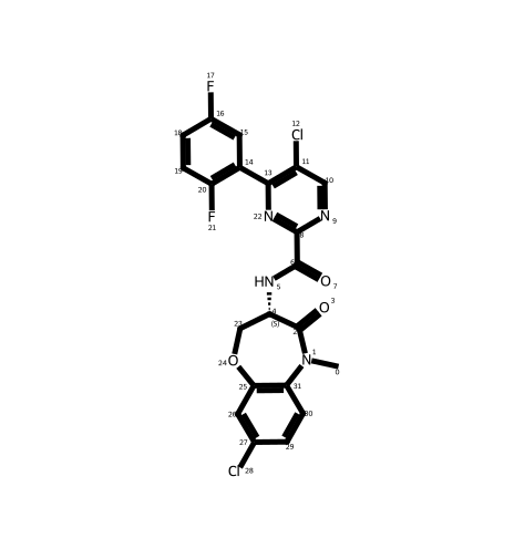 CN1C(=O)[C@@H](NC(=O)c2ncc(Cl)c(-c3cc(F)ccc3F)n2)COc2cc(Cl)ccc21